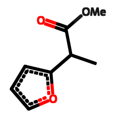 COC(=O)C(C)c1ccco1